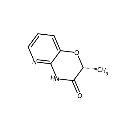 C[C@H]1Oc2cccnc2NC1=O